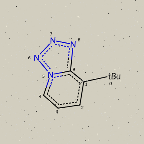 CC(C)(C)c1cccn2nnnc12